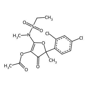 CCS(=O)(=O)N(C)C1=C(OC(C)=O)C(=O)C(C)(c2ccc(Cl)cc2Cl)O1